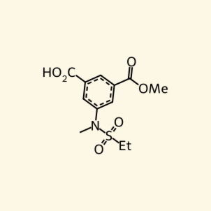 CCS(=O)(=O)N(C)c1cc(C(=O)O)cc(C(=O)OC)c1